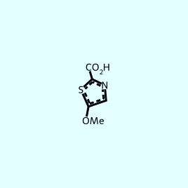 COc1cnc(C(=O)O)s1